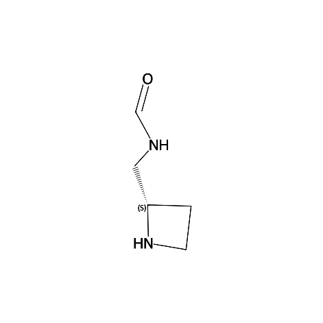 O=CNC[C@@H]1CCN1